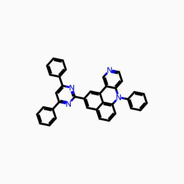 c1ccc(-c2cc(-c3ccccc3)nc(-c3cc4c5c(cccc5c3)N(c3ccccc3)c3ccncc3-4)n2)cc1